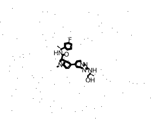 C[C@H](NC(=O)c1cn(C)c2ccc(-c3ccn4nc(N[C@@H](C)CO)nc4c3)cc12)c1cccc(F)c1